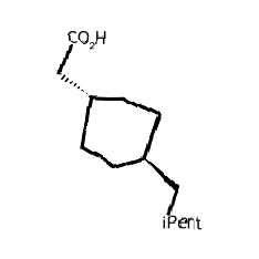 CCCC(C)C[C@H]1CC[C@H](CC(=O)O)CC1